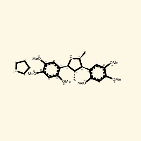 C1CCOC1.COc1cc(OC)c([C@H]2[C@H](C)[C@@H](c3cc(OC)c(OC)cc3OC)O[C@H]2C)cc1OC